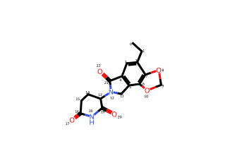 CCc1cc2c(c3c1OCO3)CN(C1CCC(=O)NC1=O)C2=O